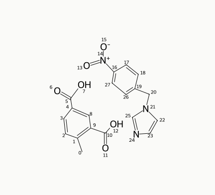 Cc1ccc(C(=O)O)cc1C(=O)O.O=[N+]([O-])c1ccc(Cn2ccnc2)cc1